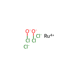 [Cl-].[Cl-].[O-]Cl.[O-]Cl.[Ru+4]